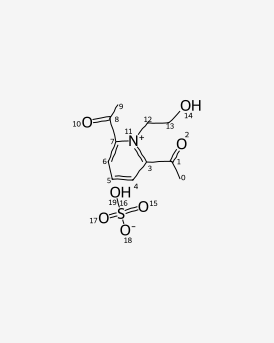 CC(=O)c1cccc(C(C)=O)[n+]1CCO.O=S(=O)([O-])O